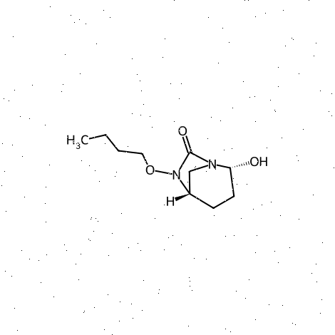 CCCCON1C(=O)N2C[C@@H]1CC[C@H]2O